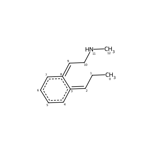 CC/C=c1/cccc/c1=C/CNC